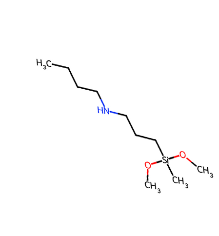 CCCCNCCC[Si](C)(OC)OC